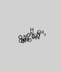 CN1CCNCC1CC(=O)Nc1ccc2nc(C(=O)c3ccccc3O)[nH]c(=O)c2c1